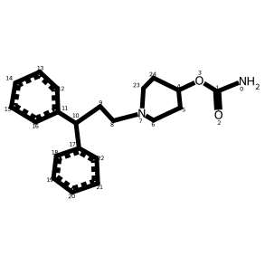 NC(=O)OC1CCN(CCC(c2ccccc2)c2ccccc2)CC1